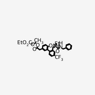 CCOC(=O)OC(C)OC(=O)Cc1ccc(OC)c(-c2ccc(C(F)(F)F)cc2CN(CC)C(=O)NCc2ccccc2)c1